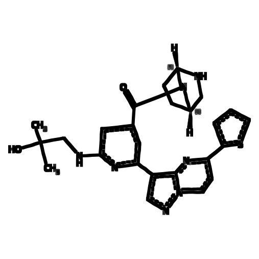 CC(C)(O)CNc1cc(C(=O)N2C[C@H]3CC[C@@H](C2)NC3)cc(-c2cnn3ccc(-c4cccs4)nc23)n1